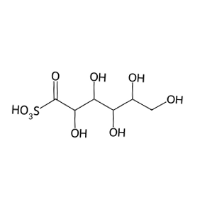 O=C(C(O)C(O)C(O)C(O)CO)S(=O)(=O)O